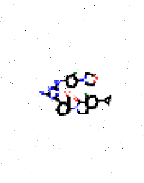 Nc1nc(Nc2ccc(N3CCOCC3)c(F)c2)nc(-c2cccc(N3CCc4cc(C5CC5)cc(F)c4C3=O)c2CO)n1